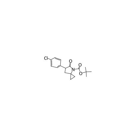 CC(C)(C)OC(=O)N1C(=O)C(c2ccc(Cl)cc2)CC12CC2